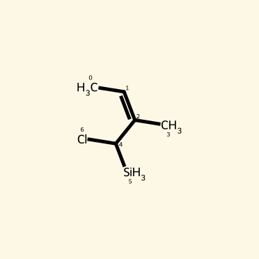 CC=C(C)C([SiH3])Cl